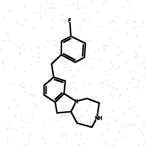 Fc1cccc(Cc2ccc3c(c2)N2CCNCCC2C3)c1